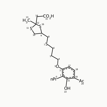 CCCc1c(OCCCSCC2CSC(C)(CC(=O)O)S2)ccc(C(C)=O)c1O